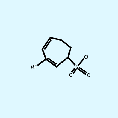 N#CC1=CC(S(=O)(=O)Cl)CCC=C1